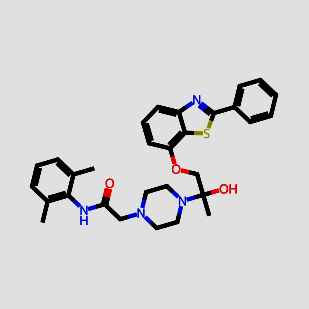 Cc1cccc(C)c1NC(=O)CN1CCN(C(C)(O)COc2cccc3nc(-c4ccccc4)sc23)CC1